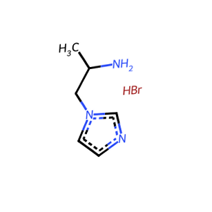 Br.CC(N)Cn1ccnc1